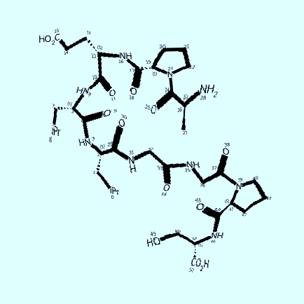 CC(C)C[C@H](NC(=O)[C@H](CC(C)C)NC(=O)[C@H](CCC(=O)O)NC(=O)[C@@H]1CCCN1C(=O)[C@H](C)N)C(=O)NCC(=O)NCC(=O)N1CCC[C@H]1C(=O)N[C@@H](CO)C(=O)O